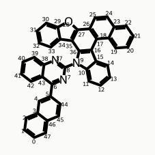 c1ccc2cc(-c3nc(-n4c5ccccc5c5c6c7ccccc7ccc6c6oc7ccccc7c6c54)nc4ccccc34)ccc2c1